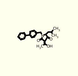 CC(O)=C1C(=O)C(CC(C)C)N(Cc2ccc(-c3ccccc3)cc2)C1=O